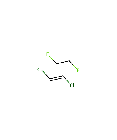 ClC=CCl.FCCF